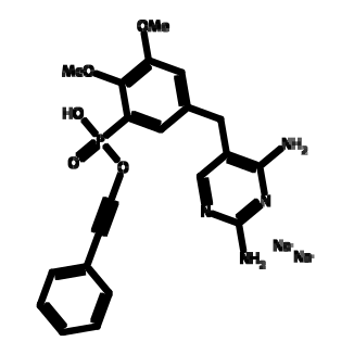 COc1cc(Cc2cnc(N)nc2N)cc(P(=O)(O)OC#Cc2ccccc2)c1OC.[Na].[Na]